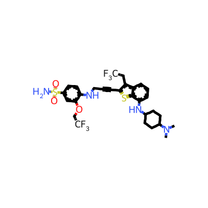 CN(C)C1CCC(Nc2cccc3c(CC(F)(F)F)c(C#CCNc4ccc(S(N)(=O)=O)cc4OCC(F)(F)F)sc23)CC1